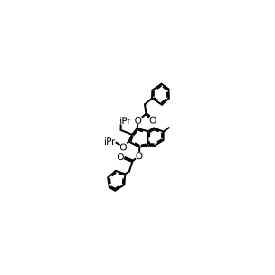 Cc1ccc2c(OC(=O)Cc3ccccc3)c(OC(C)C)c(CC(C)C)c(OC(=O)Cc3ccccc3)c2c1